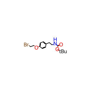 CC(C)(C)OC(=O)NCCc1ccc(OCCBr)cc1